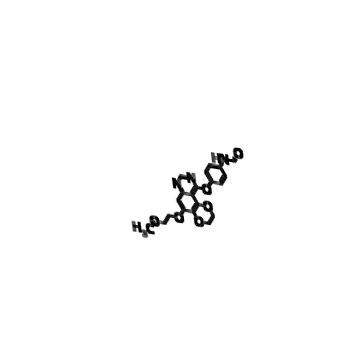 COCCOc1cc2ncnc(Oc3ccc(NC=O)cc3)c2c2c1OCCO2